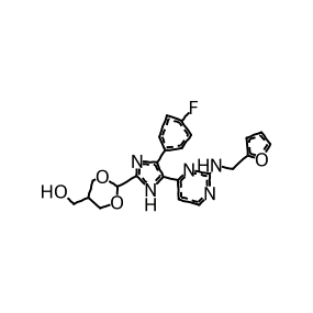 OCC1COC(c2nc(-c3ccc(F)cc3)c(-c3ccnc(NCc4ccco4)n3)[nH]2)OC1